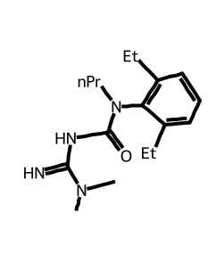 CCCN(C(=O)NC(=N)N(C)C)c1c(CC)cccc1CC